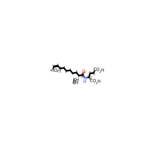 CCCCCCCC/C=C\CCCCCCCC(=O)N[C@@H](CCC(=O)O)C(=O)O.[KH].[KH]